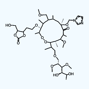 COCC1C(C)C[C@@](C)(OCn2ccnc2)C(=O)C(C)[C@@H](OC)[C@H](C)C(C(C)COC[C@@H](OC)C(OC)[C@H](O)C(C)O)OOC(C)[C@H](OCCC2OC(=O)OC2CO)C1C